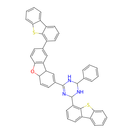 C1=CC2Oc3ccc(-c4cccc5c4sc4ccccc45)cc3C2C=C1C1=NC(c2cccc3c2sc2ccccc23)NC(c2ccccc2)N1